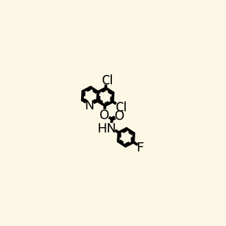 O=C(Nc1ccc(F)cc1)Oc1c(Cl)cc(Cl)c2cccnc12